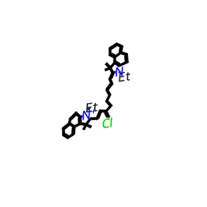 CCN1C(=C/C=C/CCC/C(C=CC2=[N+](CC)c3ccc4ccccc4c3C2(C)C)=C/Cl)C(C)(C)c2c1ccc1ccccc21